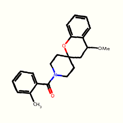 COC1CC2(CCN(C(=O)c3ccccc3C)CC2)Oc2ccccc21